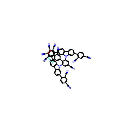 N#Cc1cc(-c2c(-n3c4cc(-c5ccc(C#N)cc5C#N)ccc4c4ccc(-c5ccc(C#N)cc5C#N)cc43)cc(C#N)cc2-n2c3cc(-c4ccc(C#N)cc4C#N)ccc3c3ccc(-c4ccc(C#N)cc4C#N)cc32)cc(C(F)(F)F)c1